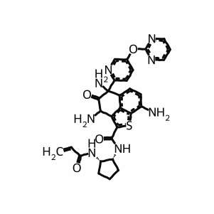 C=CC(=O)N[C@H]1CCC[C@H]1NC(=O)c1sc2c(N)ccc3c2c1C(N)C(=O)C3(N)c1ccc(Oc2ncccn2)cn1